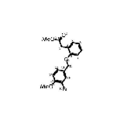 COC(=O)Cc1ccccc1OCc1ccc(OC)c(Br)c1